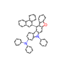 c1ccc(N(c2ccccc2)c2ccc3c4c(-c5cc6ccccc6c6ccccc56)c5c(cc4n(-c4ccccc4)c3c2)oc2ccccc25)cc1